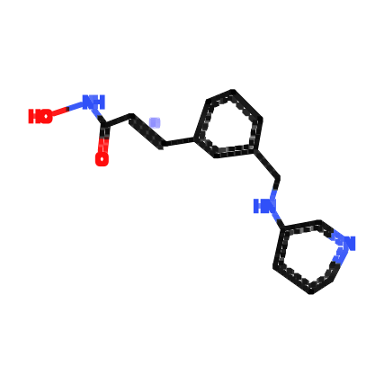 O=C(/C=C/c1cccc(CNc2cccnc2)c1)NO